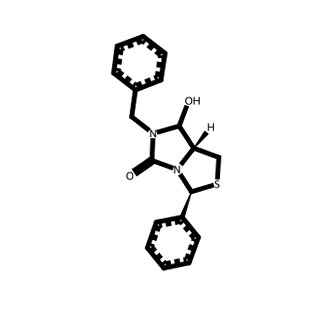 O=C1N(Cc2ccccc2)C(O)[C@@H]2CS[C@@H](c3ccccc3)N12